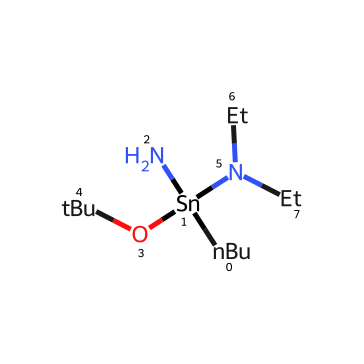 CCC[CH2][Sn]([NH2])([O]C(C)(C)C)[N](CC)CC